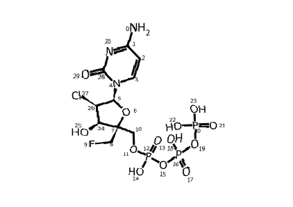 Nc1ccn([C@H]2O[C@](CF)(COP(=O)(O)OP(=O)(O)OP(=O)(O)O)[C@@H](O)[C@H]2Cl)c(=O)n1